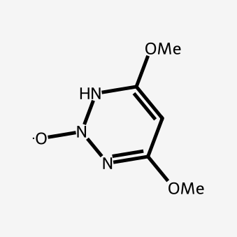 COC1=CC(OC)=NN([O])N1